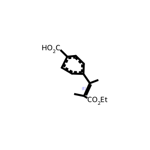 CCOC(=O)/C(C)=C(\C)c1ccc(C(=O)O)cc1